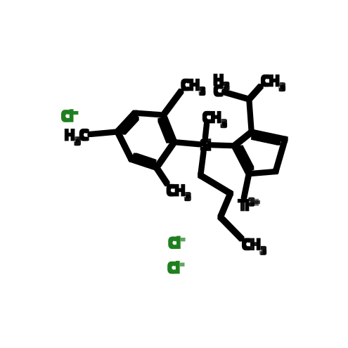 CCCC[Si](C)(C1=[C]([Ti+3])CC=C1C(C)C)c1c(C)cc(C)cc1C.[Cl-].[Cl-].[Cl-]